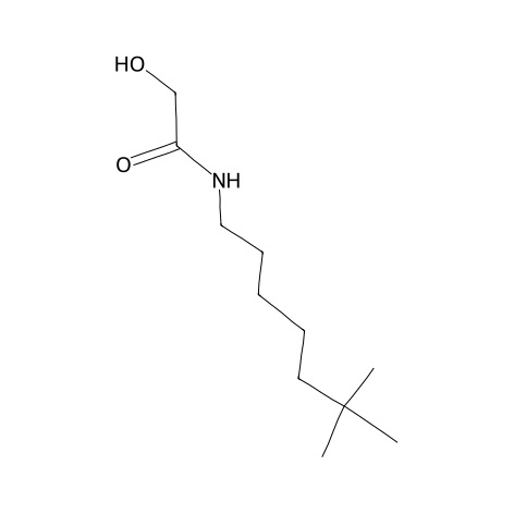 CC(C)(C)CCCCCNC(=O)CO